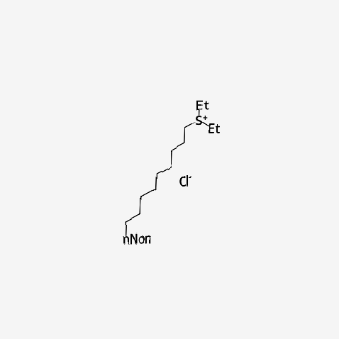 CCCCCCCCCCCCCCCCCC[S+](CC)CC.[Cl-]